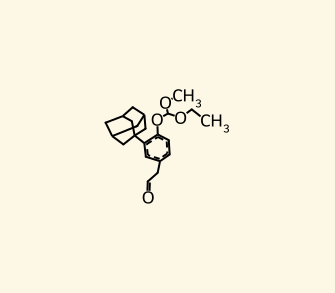 CCOC(OC)Oc1ccc(CC=O)cc1C12CC3CC(CC(C3)C1)C2